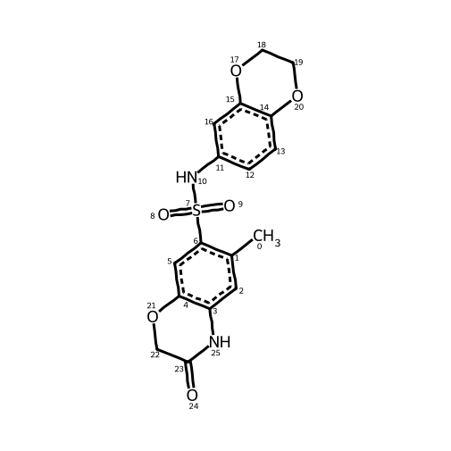 Cc1cc2c(cc1S(=O)(=O)Nc1ccc3c(c1)OCCO3)OCC(=O)N2